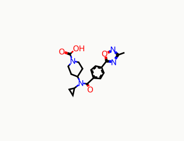 Cc1noc(-c2ccc(C(=O)N(C3CC3)C3CCN(C(=O)O)CC3)cc2)n1